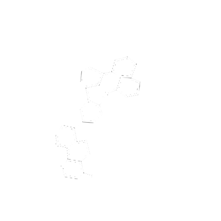 Fc1ccnc2c1ccc1c(-c3ccc4c(c3)c3cccc5c6cccc7cccc(c76)n4c53)ccnc12